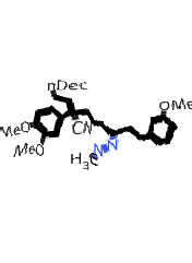 CCCCCCCCCCCCC(C#N)(CCCC(CCc1cccc(OC)c1)N=NC)c1ccc(OC)c(OC)c1